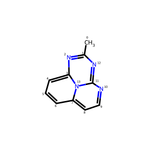 CC1=NC2=CC=CC3=CC=NC(=N1)N32